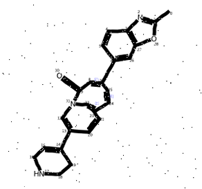 Cc1nc2ccc(C3=C\C(=O)N4C=C(C5=CCNCC5)C=C\C4=C/C=C/3)cc2o1